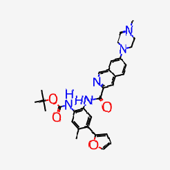 Cc1cc(NC(=O)OC(C)(C)C)c(NC(=O)c2cc3ccc(N4CCN(C)CC4)cc3cn2)cc1-c1ccco1